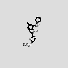 CCOC(=O)C1CSC(c2cc3cc(C)cc(NC4CCCC4)c3[nH]2)=N1